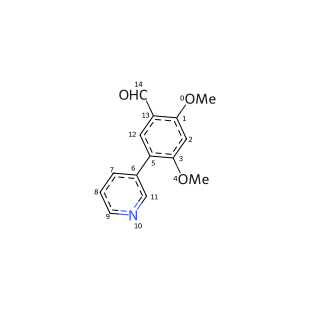 COc1cc(OC)c(-c2cccnc2)cc1C=O